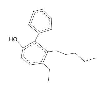 CCCCCc1c(CC)ccc(O)c1-c1ccccc1